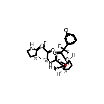 O=C1NCC[C@H]1C[C@@H](NC(=O)[C@@H]1[C@@H]2CC[C@@H](CC2(F)F)N1C(=O)C(F)(F)c1cccc(Cl)c1)C(=O)CF